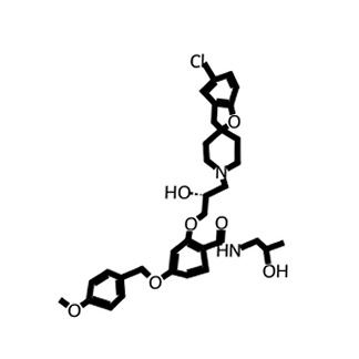 COc1ccc(COc2ccc(C(=O)NCC(C)O)c(OC[C@H](O)CN3CCC4(CC3)Cc3cc(Cl)ccc3O4)c2)cc1